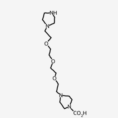 O=C(O)N1CCN(CCOCCOCCOCCN2CCNCC2)CC1